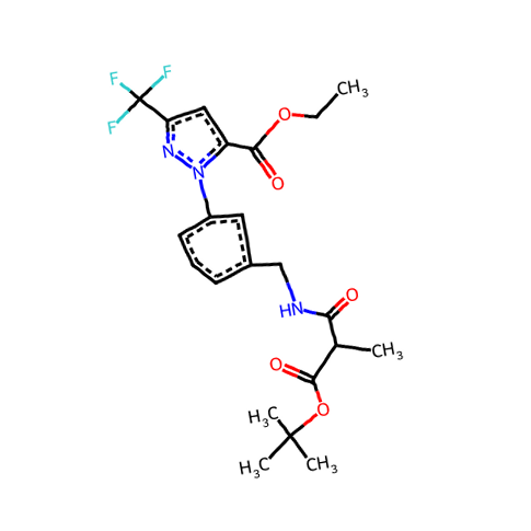 CCOC(=O)c1cc(C(F)(F)F)nn1-c1cccc(CNC(=O)C(C)C(=O)OC(C)(C)C)c1